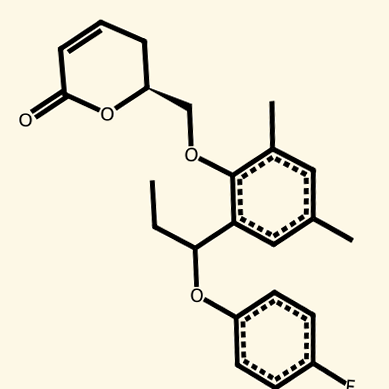 CCC(Oc1ccc(F)cc1)c1cc(C)cc(C)c1OC[C@@H]1CC=CC(=O)O1